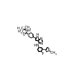 CN1CC=C(c2cc(Nc3ncnc4[nH]c(C5=CCN(C(=O)NC(C)(C)C)CC5)cc34)ccc2F)C1